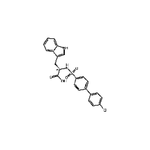 O=C(O)[C@@H](Cc1c[nH]c2ccccc12)NS(=O)(=O)c1ccc(-c2ccc(Cl)cc2)cc1